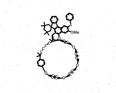 COc1cc2c3c(c4c(c2cc1Sc1ccccc1)-c1ccccc1C41CC(C)(C)CC(C)(C)C1)C=CC1(O3)c2ccc(cc2)Oc2ccc(cc2)Oc2ccc(cc2)Oc2ccc(cc2)Oc2ccc(cc2)C(C)(C)CCCCC1(C)C